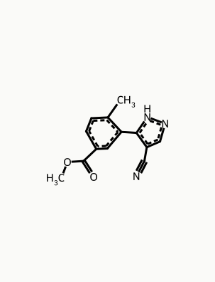 COC(=O)c1ccc(C)c(-c2[nH]ncc2C#N)c1